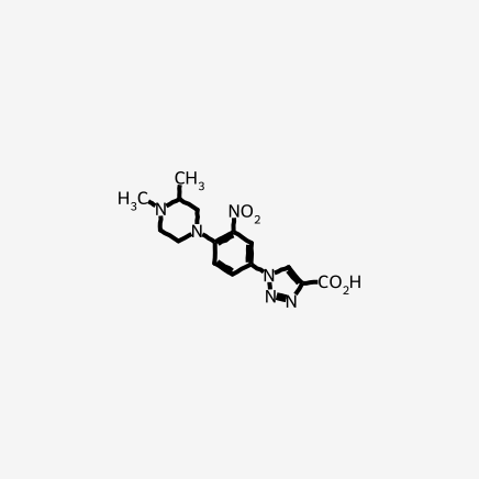 CC1CN(c2ccc(-n3cc(C(=O)O)nn3)cc2[N+](=O)[O-])CCN1C